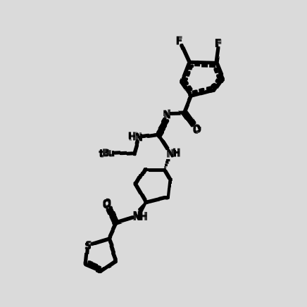 CC(C)(C)CN/C(=N/C(=O)c1ccc(F)c(F)c1)N[C@H]1CC[C@H](NC(=O)C2CC=CS2)CC1